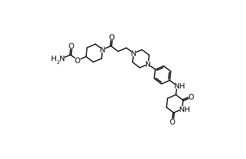 NC(=O)OC1CCN(C(=O)CCN2CCN(c3ccc(NC4CCC(=O)NC4=O)cc3)CC2)CC1